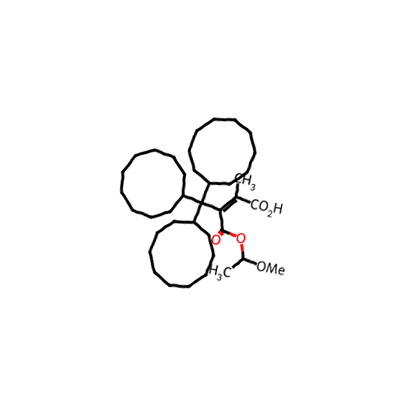 COC(C)OC(=O)C(=C(C)C(=O)O)C(C1CCCCCCCCC1)(C1CCCCCCCCC1)C1CCCCCCCCC1